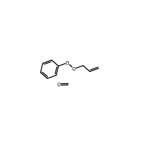 C=CCOOc1ccccc1.C=O